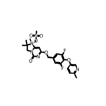 Cc1ccc(Oc2c(F)cc(COc3cc4n(c(=O)n3)CC(C)(C)[N+]4(C)OS(C)(=O)=O)cc2F)cn1